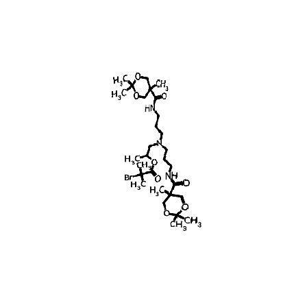 CC(CN(CCCNC(=O)C1(C)COC(C)(C)OC1)CCCNC(=O)C1(C)COC(C)(C)OC1)OC(=O)C(C)(C)Br